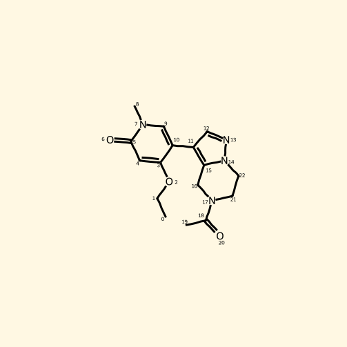 CCOc1cc(=O)n(C)cc1-c1cnn2c1CN(C(C)=O)CC2